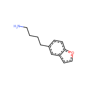 NCCCCc1ccc2occc2c1